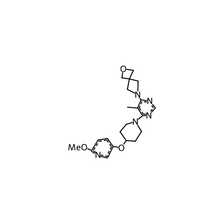 COc1ccc(OC2CCN(c3ncnc(N4CC5(COC5)C4)c3C)CC2)cn1